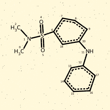 CN(C)S(=O)(=O)c1cccc(Nc2ccccc2)c1